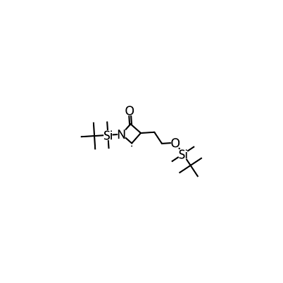 CC(C)(C)[Si](C)(C)OCCC1[CH]N([Si](C)(C)C(C)(C)C)C1=O